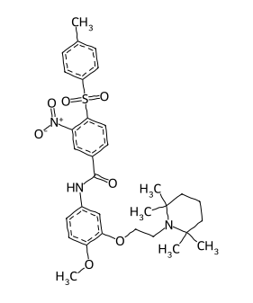 COc1ccc(NC(=O)c2ccc(S(=O)(=O)c3ccc(C)cc3)c([N+](=O)[O-])c2)cc1OCCN1C(C)(C)CCCC1(C)C